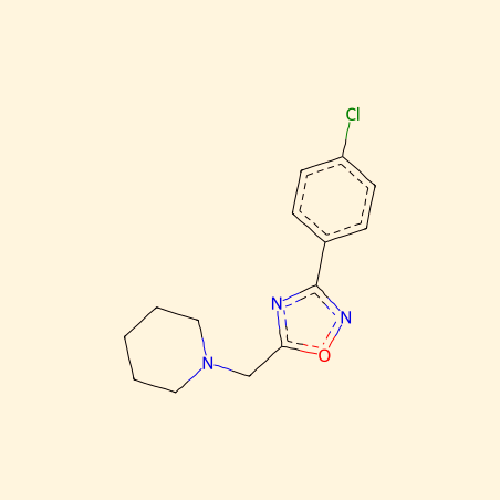 Clc1ccc(-c2noc(CN3CCCCC3)n2)cc1